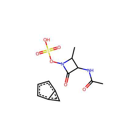 CC(=O)NC1C(=O)N(OS(=O)(=O)O)C1C.c1cc2cc-2c1